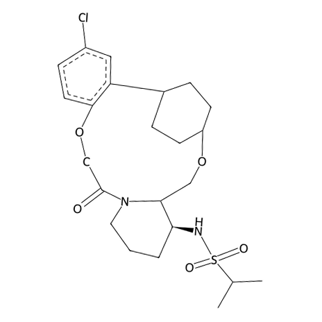 CC(C)S(=O)(=O)N[C@H]1CCCN2C(=O)COc3ccc(Cl)cc3C3CCC(CC3)OCC12